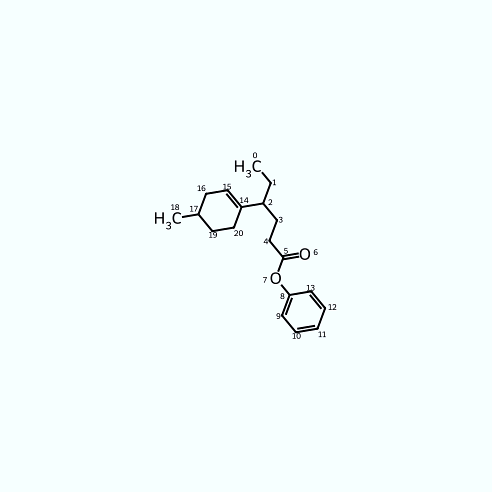 CCC(CCC(=O)Oc1ccccc1)C1=CCC(C)CC1